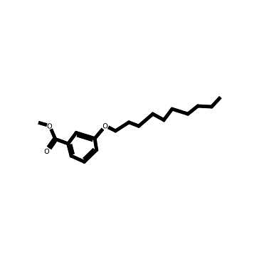 CCCCCCCCCCOc1cccc(C(=O)OC)c1